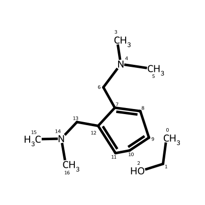 CCO.CN(C)Cc1ccccc1CN(C)C